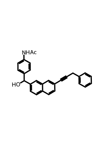 CC(=O)Nc1ccc(C(O)c2ccc3ccc(C#CCc4ccccc4)cc3c2)cc1